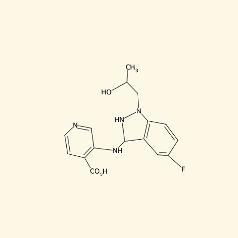 CC(O)CN1NC(Nc2cnccc2C(=O)O)c2cc(F)ccc21